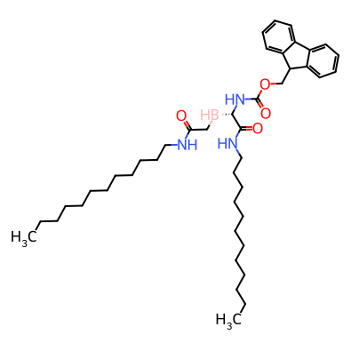 CCCCCCCCCCCCNC(=O)CB[C@H](NC(=O)OCC1c2ccccc2-c2ccccc21)C(=O)NCCCCCCCCCCCC